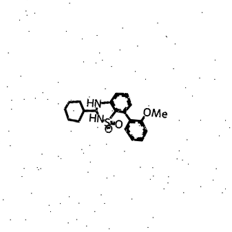 COc1ccccc1-c1cccc2c1S(=O)(=O)NC(C1CCCCC1)N2